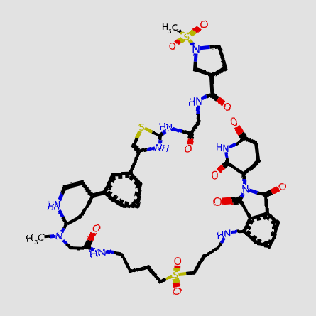 CN(CC(=O)NCCCCS(=O)(=O)CCCNc1cccc2c1C(=O)N(C1CCC(=O)NC1=O)C2=O)C1CC(c2cccc(C3CSC(NC(=O)CNC(=O)C4CCN(S(C)(=O)=O)C4)N3)c2)CCN1